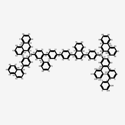 c1ccc(-c2cccc(-c3ccc(N(c4ccc(-c5ccc(-c6ccc(-c7ccc(-c8ccc(N(c9ccc(-c%10cccc%11ccccc%10%11)cc9)c9cc%10ccccc%10c%10ccccc9%10)cc8-c8ccccc8)cc7)cc6)c6ccccc56)cc4)c4cc5ccccc5c5ccccc45)cc3-c3ccccc3)c2)cc1